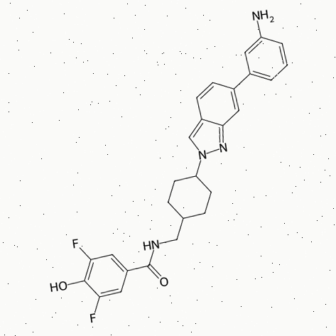 Nc1cccc(-c2ccc3cn(C4CCC(CNC(=O)c5cc(F)c(O)c(F)c5)CC4)nc3c2)c1